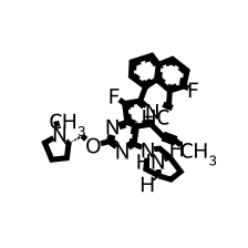 C#Cc1c(F)ccc2cccc(-c3nc(C#CC)c4c(N5C[C@H]6CC[C@@H](C5)N6)nc(OC[C@@H]5CCCN5C)nc4c3F)c12